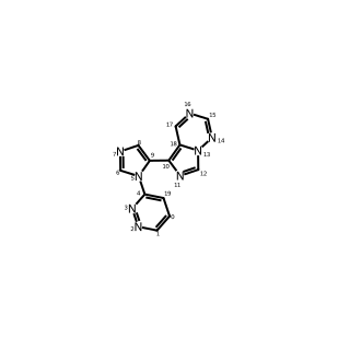 c1cnnc(-n2cncc2-c2ncn3ncncc23)c1